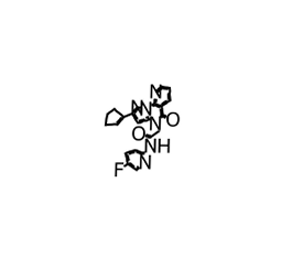 O=C(Cn1c(=O)c2cccnc2n2nc(C3=CCCC3)cc12)Nc1ccc(F)cn1